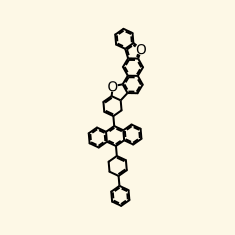 C1=C(c2ccccc2)CCC(c2c3ccccc3c(C3=CC=C4Oc5c(ccc6cc7oc8ccccc8c7cc56)C4C3)c3ccccc23)=C1